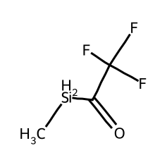 C[SiH2]C(=O)C(F)(F)F